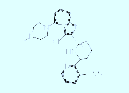 COc1cccnc1C1CCC[C@H](c2nc3cccc(N4CCN(C)CC4)n3c2Cl)N1